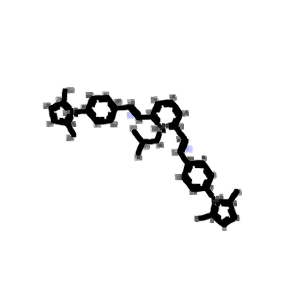 Cc1ccc(C)n1-c1ccc(/C=C/c2cccc(/C=C/c3ccc(-n4c(C)ccc4C)cc3)[n+]2CC(C)C)cc1